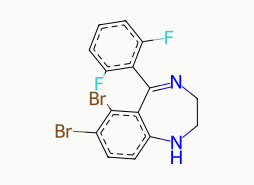 Fc1cccc(F)c1C1=NCCNc2ccc(Br)c(Br)c21